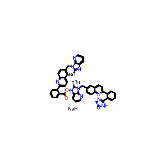 CCCCc1nc2cccnc2n1Cc1ccc2nc(-c3ccccc3C(=O)ON3c4cccnc4N(Cc4ccc5nc(-c6ccccc6-c6nnn[nH]6)ccc5c4)C3CCCC)ccc2c1.[NaH]